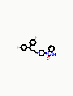 O=c1[nH]c2c#cccc2n1C1CCN(CCCC(c2ccc(F)cc2)c2ccc(F)cc2)CC1